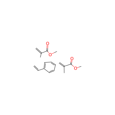 C=C(C)C(=O)OC.C=C(C)C(=O)OC.C=Cc1ccccc1